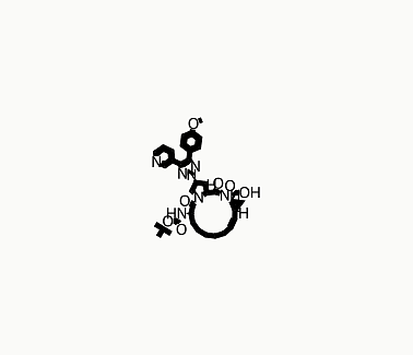 COc1ccc(-c2nn([C@H]3C[C@H]4C(=O)N[C@]5(C(=O)O)C[C@H]5/C=C\CCCCC[C@H](NC(=O)OC(C)(C)C)C(=O)N4C3)nc2-c2cccnc2)cc1